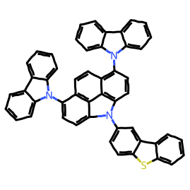 c1ccc2c(c1)sc1ccc(-n3c4ccc(-n5c6ccccc6c6ccccc65)c5ccc6c(-n7c8ccccc8c8ccccc87)ccc3c6c54)cc12